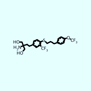 NC(CO)(CO)CCc1ccc(SCCCc2ccc(OC(F)(F)F)cc2)c(C(F)(F)F)c1